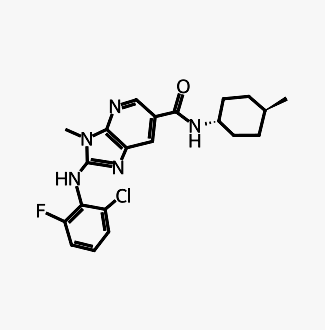 Cn1c(Nc2c(F)cccc2Cl)nc2cc(C(=O)N[C@H]3CC[C@H](C)CC3)cnc21